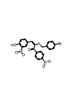 O=C(/C(=C\c1ccc(O)c([N+](=O)[O-])c1)SCc1ccc(Br)cc1)c1ccc([N+](=O)[O-])cc1